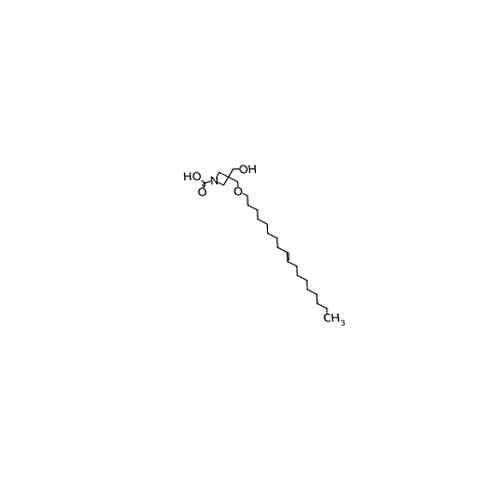 CCCCCCCCC=CCCCCCCCCOCC1(CO)CN(C(=O)O)C1